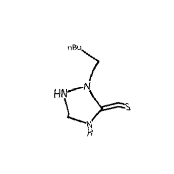 CCCCCN1NCNC1=S